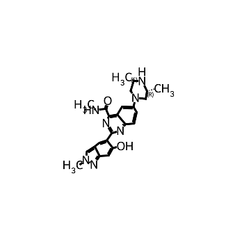 CNC(=O)c1nc(-c2cc3cn(C)nc3cc2O)nc2ccc(N3C[C@@H](C)N[C@@H](C)C3)cc12